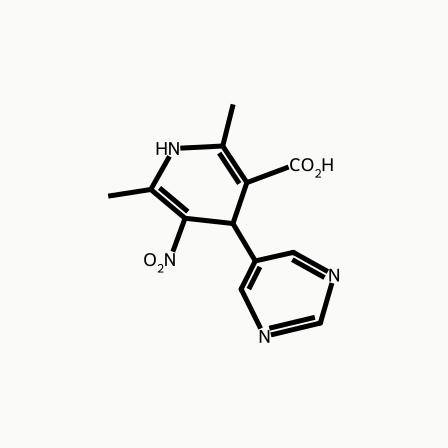 CC1=C(C(=O)O)C(c2cncnc2)C([N+](=O)[O-])=C(C)N1